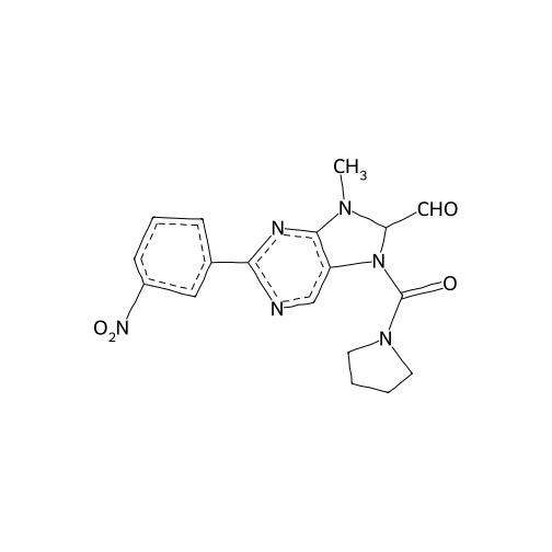 CN1c2nc(-c3cccc([N+](=O)[O-])c3)ncc2N(C(=O)N2CCCC2)C1C=O